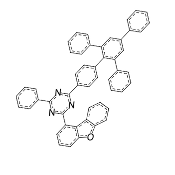 c1ccc(-c2cc(-c3ccccc3)c(-c3ccc(-c4nc(-c5ccccc5)nc(-c5cccc6oc7ccccc7c56)n4)cc3)c(-c3ccccc3)c2)cc1